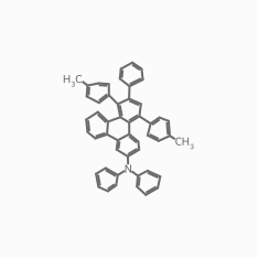 Cc1ccc(-c2cc(-c3ccccc3)c(-c3ccc(C)cc3)c3c4ccccc4c4cc(N(c5ccccc5)c5ccccc5)ccc4c23)cc1